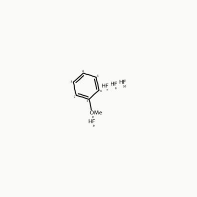 COc1ccccc1.F.F.F.F